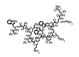 CC(C)NC(=O)N[C@H](CCC(=O)N[C@H](CNC(=O)N[C@@H](CCCCN)CNC(=O)N[C@H](CNC(=O)N[C@@H](CCCCN)CNC(=O)N[C@H](CNC(=O)N[C@H](CNC(=O)N[C@@H](CCCCN)CNC(=O)N[C@H](CNC(=O)N[C@@H](CCCCN)CNC(=O)N[C@H](CCC(N)=O)C(C)C)Cc1c[nH]c2ccccc12)C(C)C)Cc1c[nH]c2ccccc12)C(C)C)C(C)C)Cc1c[nH]c2ccccc12